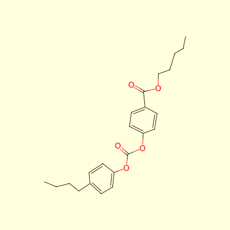 CCCCCOC(=O)c1ccc(OC(=O)Oc2ccc(CCCC)cc2)cc1